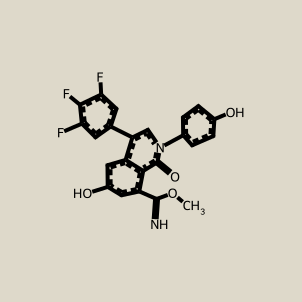 COC(=N)c1cc(O)cc2c(-c3cc(F)c(F)c(F)c3)cn(-c3ccc(O)cc3)c(=O)c12